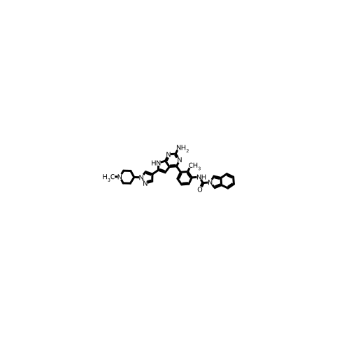 Cc1c(NC(=O)n2cc3ccccc3c2)cccc1-c1nc(N)nc2[nH]c(-c3cnn(C4CCN(C)CC4)c3)cc12